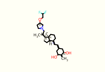 C=C1[C@H](O)CC(=C/C=C2\CCC[C@]3(C)[C@@H]([C@H](C)CN4CC[C@@H](OCC(F)F)C4)CC[C@@H]23)C[C@H]1O